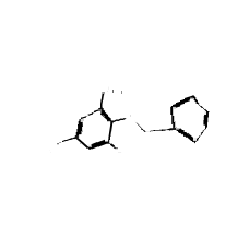 Cc1cc(O)c(SCc2ccccc2)c(F)c1